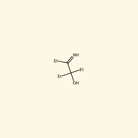 CCC(=N)C(O)(CC)CC